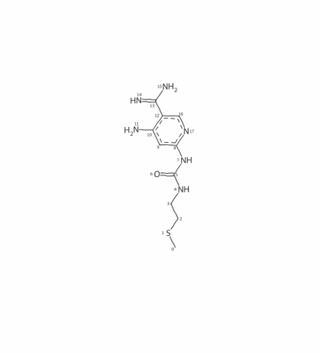 CSCCNC(=O)Nc1cc(N)c(C(=N)N)cn1